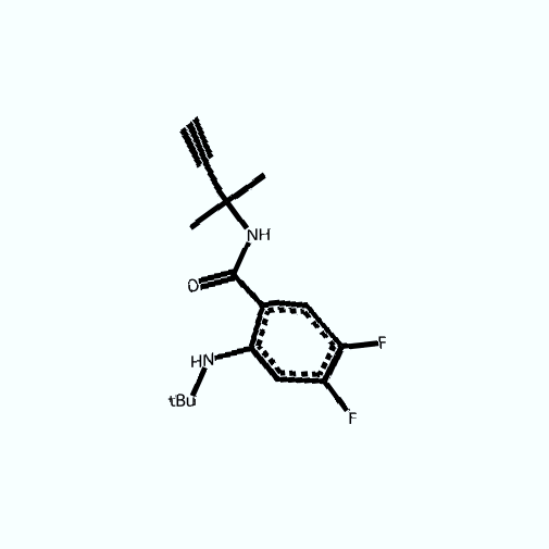 C#CC(C)(C)NC(=O)c1cc(F)c(F)cc1NC(C)(C)C